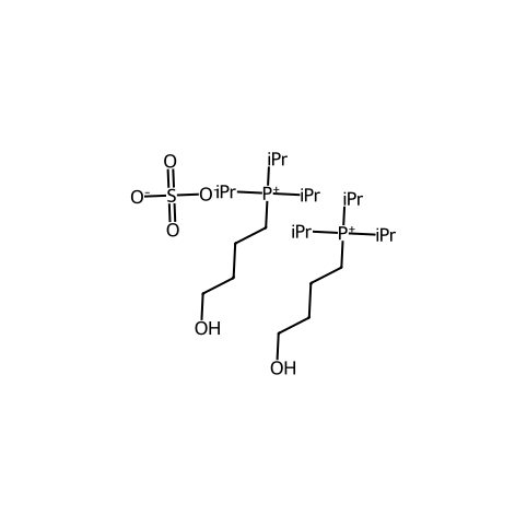 CC(C)[P+](CCCCO)(C(C)C)C(C)C.CC(C)[P+](CCCCO)(C(C)C)C(C)C.O=S(=O)([O-])[O-]